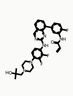 C=CC(=O)Nc1cc(-c2cccc3cnc(Nc4ccc(N5CCN(CC(C)(C)O)CC5)c(F)c4F)nc23)ccc1F